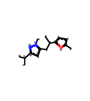 Cc1ccc(C(C)Cc2cc(C(C)C)nn2C)o1